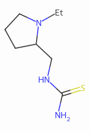 CCN1CCCC1CNC(N)=S